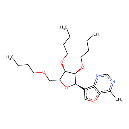 CCCCOC[C@H]1O[C@H](c2coc3c(C)ncnc23)[C@H](OCCCC)[C@@H]1OCCCC